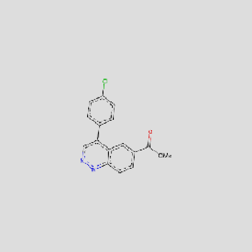 COC(=O)c1ccc2nncc(-c3ccc(Cl)cc3)c2c1